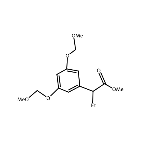 CCC(C(=O)OC)c1cc(OCOC)cc(OCOC)c1